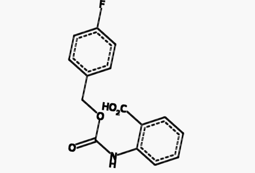 O=C(Nc1ccccc1C(=O)O)OCc1ccc(F)cc1